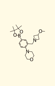 COC1CN(Cc2cc(B3OC(C)(C)C(C)(C)O3)ccc2N2CCOCC2)C1